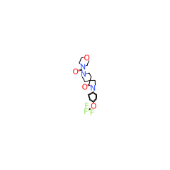 O=C(N1CCOCC1)N1CCC2(CC1)CCN(c1ccc(OC(F)(F)F)cc1)C2=O